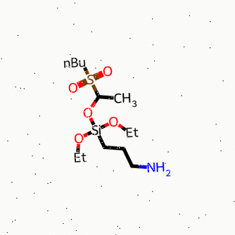 CCCCS(=O)(=O)C(C)O[Si](CCCN)(OCC)OCC